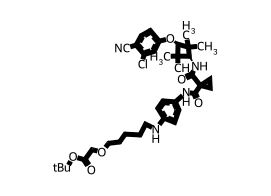 CC(C)(C)OC(=O)COCCCCCNc1ccc(NC(=O)C2(C(=O)N[C@H]3C(C)(C)[C@H](Oc4ccc(C#N)c(Cl)c4)C3(C)C)CC2)cc1